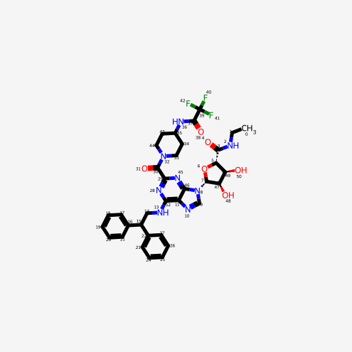 CCNC(=O)[C@H]1O[C@@H](n2cnc3c(NCC(c4ccccc4)c4ccccc4)nc(C(=O)N4CCC(NC(=O)C(F)(F)F)CC4)nc32)[C@H](O)[C@@H]1O